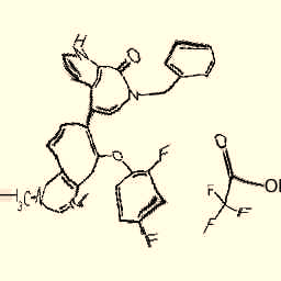 Cn1cnc2c(Oc3ccc(F)cc3F)c(-c3cn(Cc4ccccc4)c(=O)c4[nH]ccc34)ccc21.O=C(O)C(F)(F)F